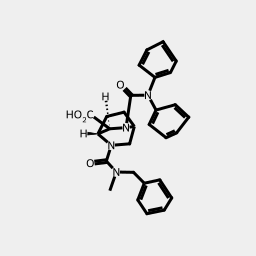 CN(Cc1ccccc1)C(=O)N1CC2CC[C@@H]1[C@@H](C(=O)O)N2C(=O)N(c1ccccc1)c1ccccc1